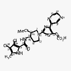 CO[C@H]1CN(c2nc(-c3cnccn3)c(OC(=O)O)s2)CC[C@H]1NC(=O)c1[nH]c(C)c(Cl)c1Cl